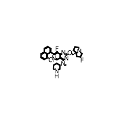 CN(c1nc(OC[C@@]23CCCN2C[C@H](F)C3)nc2c(F)c(-c3cccc4cccc(Cl)c34)ncc12)[C@H]1CCCNC1